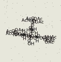 CC(=O)NC1C(OCCOCCC(=O)NNC(=O)CCOCC(COCCC(=O)NNC(=O)CCOCCOC2OC(COC(C)=O)C(OC(C)=O)C(OC(C)=O)C2NC(C)=O)(COCCC(=O)NNC(=O)CCOCCOC2OC(COC(C)=O)C(OC(C)=O)C(OC(C)=O)C2NC(C)=O)NC(=O)CCOCCO)OC(COC(C)=O)C(OC(C)=O)C1OC(C)=O